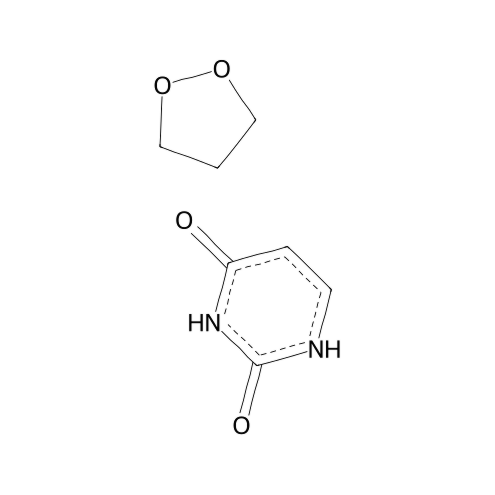 C1COOC1.O=c1cc[nH]c(=O)[nH]1